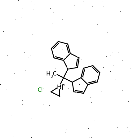 C[C](C1C=Cc2ccccc21)(C1C=Cc2ccccc21)[Hf+]1[CH2][CH2]1.[Cl-]